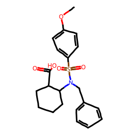 COc1ccc(S(=O)(=O)N(Cc2ccccc2)C2CCCCC2C(=O)O)cc1